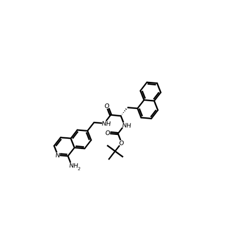 CC(C)(C)OC(=O)N[C@@H](Cc1cccc2ccccc12)C(=O)NCc1ccc2c(N)nccc2c1